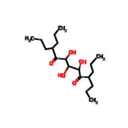 CCCC(CCC)C(=O)C(O)C(O)C(O)C(=O)C(CCC)CCC